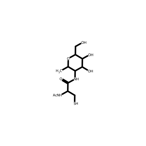 CC(=O)NC(CS)C(=O)NC1C(C)OC(CO)C(O)C1O